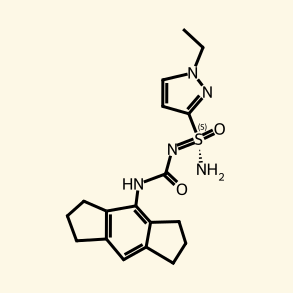 CCn1ccc([S@@](N)(=O)=NC(=O)Nc2c3c(cc4c2CCC4)CCC3)n1